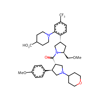 COC[C@@H]1C[C@@H](c2ccc(C(F)(F)F)cc2N2CCC(C(=O)O)CC2)CN1C(=O)[C@@H]1CN(C2CCOCC2)C[C@H]1c1ccc(OC)cc1